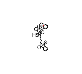 CC(=O)C(Cc1ccccc1)(OC(=O)N(S)CCCCN1C(=O)c2ccccc2C1=O)N1CCCC1